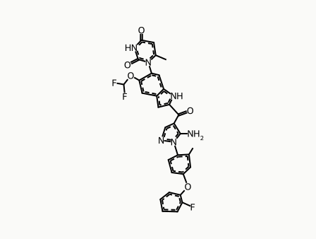 Cc1cc(Oc2ccccc2F)ccc1-n1ncc(C(=O)c2cc3cc(OC(F)F)c(-n4c(C)cc(=O)[nH]c4=O)cc3[nH]2)c1N